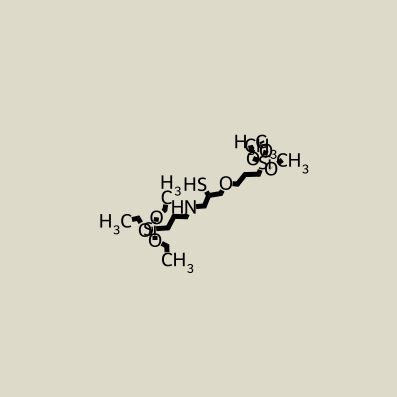 CCO[Si](CCCNCC(S)COCCC[Si](OC)(OC)OC)(OCC)OCC